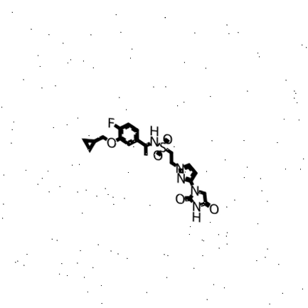 CC(NS(=O)(=O)CCn1ccc(N2CC(=O)NC2=O)n1)c1ccc(F)c(OCC2CC2)c1